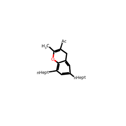 CCCCCCCc1cc(CCCCCCC)c2c(c1)CC(C(C)=O)=C(C)O2